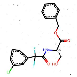 O=C(OCc1ccccc1)[C@H](CO)NC(=O)C(F)(F)c1cccc(Cl)c1